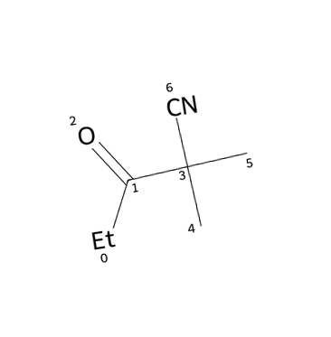 CCC(=O)C(C)(C)C#N